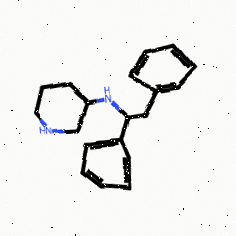 c1ccc(CC(NC2CCCNC2)c2ccccc2)cc1